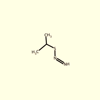 CC(C)SN=N